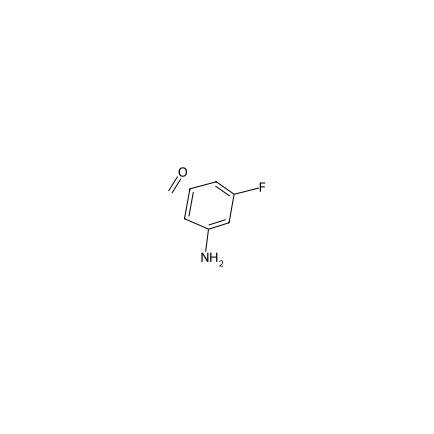 C=O.Nc1cccc(F)c1